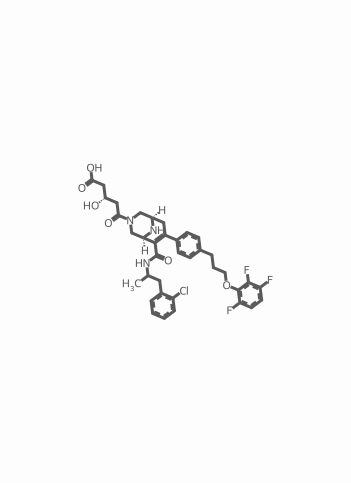 CC(Cc1ccccc1Cl)NC(=O)C1=C(c2ccc(CCCOc3c(F)ccc(F)c3F)cc2)C[C@@H]2CN(C(=O)C[C@H](O)CC(=O)O)C[C@H]1N2